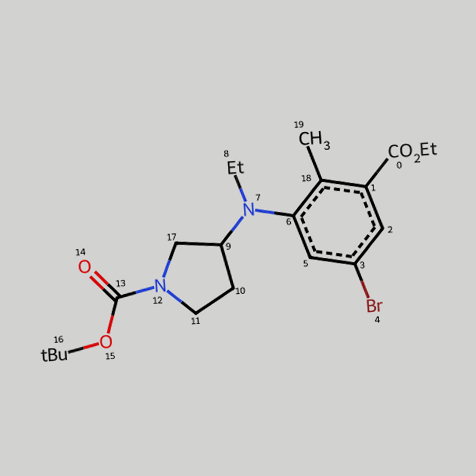 CCOC(=O)c1cc(Br)cc(N(CC)C2CCN(C(=O)OC(C)(C)C)C2)c1C